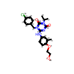 COCCOc1ccc(Nc2nc(=O)n(C(C)C)c(=O)n2Cc2ccc(Cl)cc2)cc1C